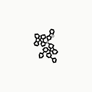 c1ccc(-c2cccc(C3(c4cccc(-c5ccccc5)c4)c4ccccc4-c4ccc(N(c5ccc6c(c5)oc5ccccc56)c5cccc6c5-c5ccccc5C65c6ccccc6-c6ccccc65)cc43)c2)cc1